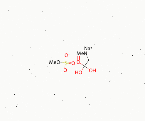 CNCC(O)(O)O.COS(=O)(=O)[O-].[Na+]